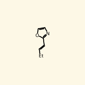 CC/C=C/c1ncco1